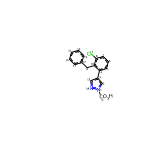 O=C(O)n1cc(-c2cccc(Cl)c2Cc2ccccc2)cn1